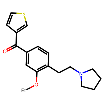 CCOc1cc(C(=O)c2ccsc2)ccc1CCN1CCCC1